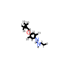 CCCN(C)/C=N/c1cc(C)c(OCC2C(C)(C)C2(C)C)cc1C